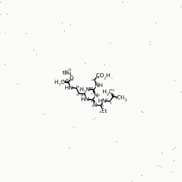 C=C(C)CNC(CC)/N=C(\N=C(/N)NCC(=O)O)NCCCNC(=C)OC(C)(C)C